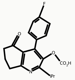 CC(C)c1nc2c(c(-c3ccc(F)cc3)c1OC(=O)O)C(=O)CCC2